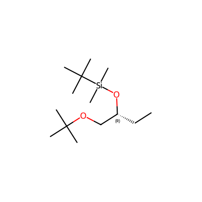 CC[C@H](COC(C)(C)C)O[Si](C)(C)C(C)(C)C